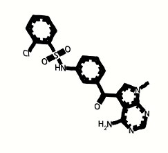 Cn1cc(C(=O)c2cccc(NS(=O)(=O)c3ccccc3Cl)c2)c2c(N)ncnc21